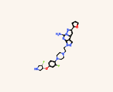 Nc1nc2c(cnn2CCN2CCN(c3ccc(O[C@@H]4CNC[C@@H]4F)cc3F)CC2)c2cc(-c3ccco3)nn12